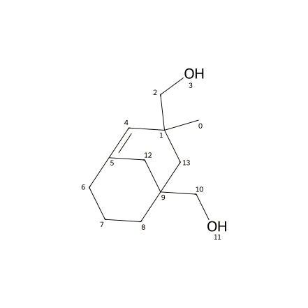 CC1(CO)C=C2CCCC(CO)(C2)C1